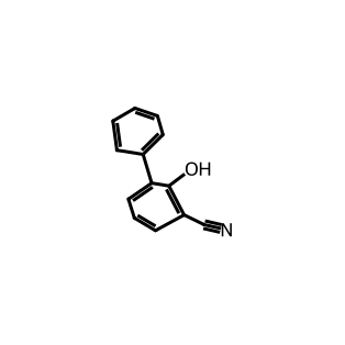 N#Cc1cccc(-c2ccccc2)c1O